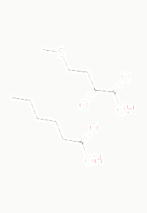 CCCCCC(=O)O.CSCCC(=O)C(=O)O